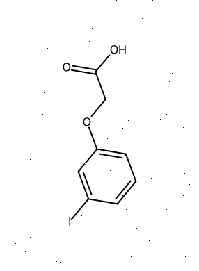 O=C(O)COc1cccc(I)c1